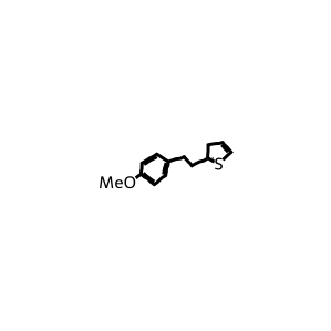 COc1ccc(CC[C]2CC=CS2)cc1